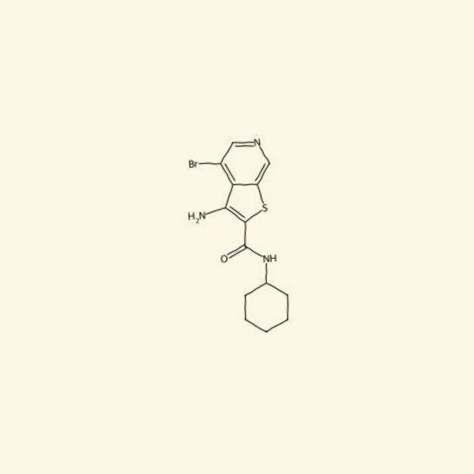 Nc1c(C(=O)NC2CCCCC2)sc2cncc(Br)c12